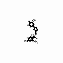 COc1cc(C2CCC(CNC(=O)c3ccc(Br)cc3N)O2)ccc1F